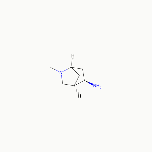 CN1C[C@H]2C[C@@H]1C[C@H]2N